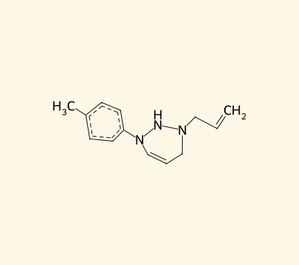 C=CCN1CC=CN(c2ccc(C)cc2)N1